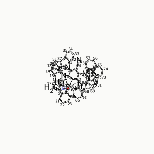 C=C/C=C\C(C)(C)c1c(-n2c3ccccc3c3ccc4c5ccccc5sc4c32)c(-n2c3ccccc3c3ccccc32)c(C#N)c(-n2c3ccccc3c3ccccc32)c1-n1c2ccccc2c2ccc3c4ccccc4sc3c21